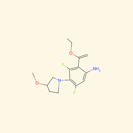 C=C(OCC)c1c(N)cc(F)c(N2CCC(OC)C2)c1F